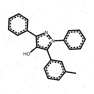 Cc1cccc(-c2c(O)c(-c3ccccc3)nn2-c2ccccc2)c1